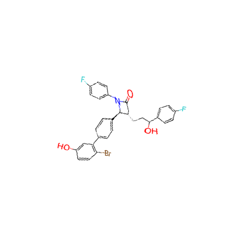 O=C1[C@H](CCC(O)c2ccc(F)cc2)[C@@H](c2ccc(-c3cc(O)ccc3Br)cc2)N1c1ccc(F)cc1